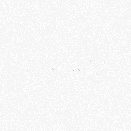 COc1cc(C(=O)NN2C[C@@H]3C(CCN4CCN(c5ccc(NC6CCC(=O)NC6=O)cc5)CC4)[C@@H]3C2)ccc1Nc1ncc2c(n1)N(C(C)C)CC(F)(F)C(=O)N2C